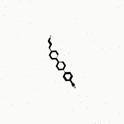 N#Cc1ccc([C@H]2CC[C@H]([C@H]3CC[C@H](CC=CF)CC3)CC2)cc1